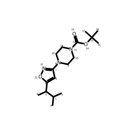 CC(C)C(C)c1cc(N2CCN(C(=O)OC(C)(C)C)CC2)no1